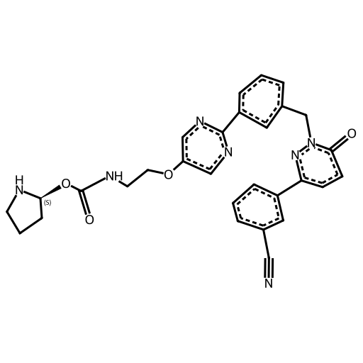 N#Cc1cccc(-c2ccc(=O)n(Cc3cccc(-c4ncc(OCCNC(=O)O[C@H]5CCCN5)cn4)c3)n2)c1